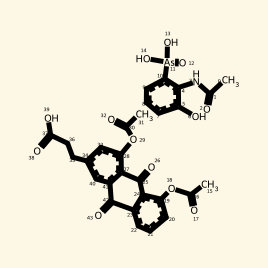 CC(=O)Nc1c(O)cccc1[As](=O)(O)O.CC(=O)Oc1cccc2c1C(=O)c1c(OC(C)=O)cc(CCC(=O)O)cc1C2=O